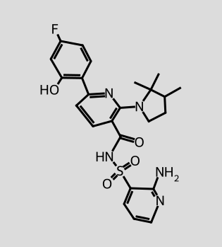 CC1CCN(c2nc(-c3ccc(F)cc3O)ccc2C(=O)NS(=O)(=O)c2cccnc2N)C1(C)C